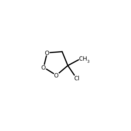 CC1(Cl)COOO1